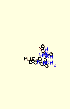 CC1(C)C2=C(CCC(N3C4=C(CCCC4)C4C3CCC3C5C=CCCC5N(C5CCC(C6NC(C7=CCC8Sc9ccccc9C8C7)NC(C7CC=CCC7)N6)CC5N)C34)C2)C2C=CCCC21